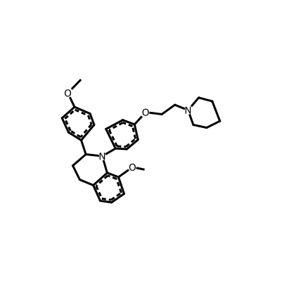 COc1ccc(C2CCc3cccc(OC)c3N2c2ccc(OCCN3CCCCC3)cc2)cc1